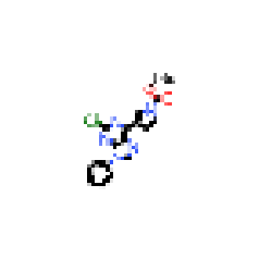 CC(C)(C)OC(=O)N1C=C(c2nc(Cl)nc3c2ncn3-c2ccccc2)CC1